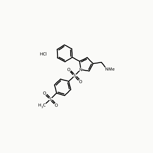 CNCc1cc(-c2ccccc2)n(S(=O)(=O)c2ccc(S(C)(=O)=O)cc2)c1.Cl